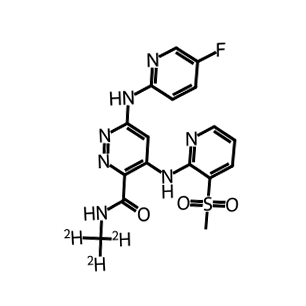 [2H]C([2H])([2H])NC(=O)c1nnc(Nc2ccc(F)cn2)cc1Nc1ncccc1S(C)(=O)=O